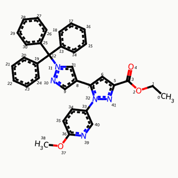 CCOC(=O)c1cc(-c2cnn(C(c3ccccc3)(c3ccccc3)c3ccccc3)c2)n(-c2ccc(OC)nc2)n1